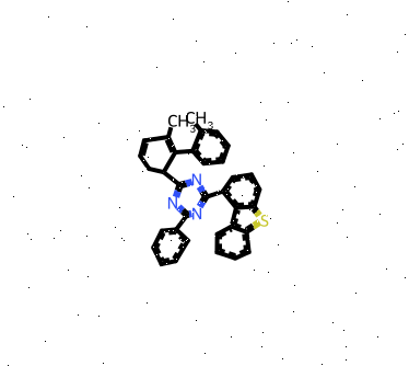 CC1=C(c2ccccc2C)C(c2nc(-c3ccccc3)nc(-c3cccc4sc5ccccc5c34)n2)CC=C1